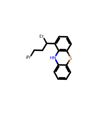 CCC(CCC(C)C)c1cccc2c1Nc1ccccc1S2